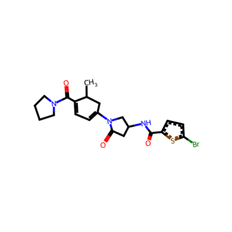 CC1CC(N2CC(NC(=O)c3ccc(Br)s3)CC2=O)=CC=C1C(=O)N1CCCC1